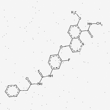 CNC(=O)c1c(OC)ccc2c(Oc3ccc(NC(=S)NC(=O)Cc4ccccc4)cc3F)ccnc12